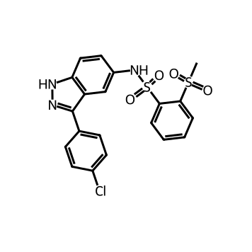 CS(=O)(=O)c1ccccc1S(=O)(=O)Nc1ccc2[nH]nc(-c3ccc(Cl)cc3)c2c1